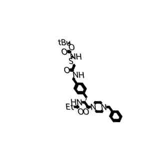 CCC(=O)N[C@H](Cc1ccc(CNC(=O)CSNC(=O)OC(C)(C)C)cc1)C(=O)N1CCN(Cc2ccccc2)CC1